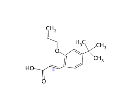 C=CCOc1cc(C(C)(C)C)ccc1/C=C/C(=O)O